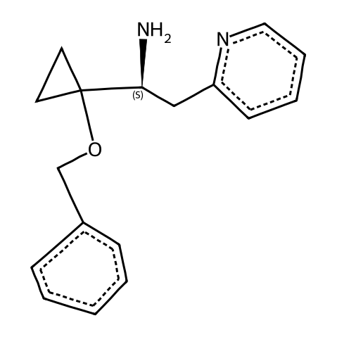 N[C@@H](Cc1ccccn1)C1(OCc2ccccc2)CC1